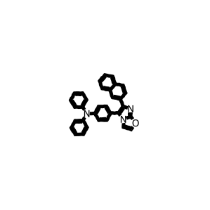 c1ccc(N(c2ccccc2)c2ccc(-c3c(-c4ccc5ccccc5c4)nc4occn34)cc2)cc1